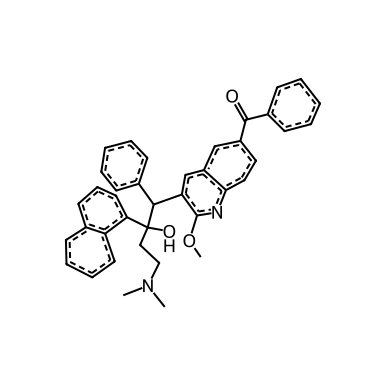 COc1nc2ccc(C(=O)c3ccccc3)cc2cc1C(c1ccccc1)C(O)(CCN(C)C)c1cccc2ccccc12